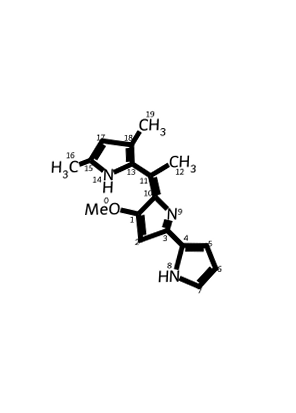 COC1=CC(c2ccc[nH]2)=NC1=C(C)c1[nH]c(C)cc1C